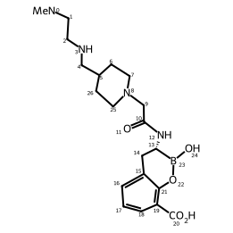 CNCCNCC1CCN(CC(=O)N[C@H]2Cc3cccc(C(=O)O)c3OB2O)CC1